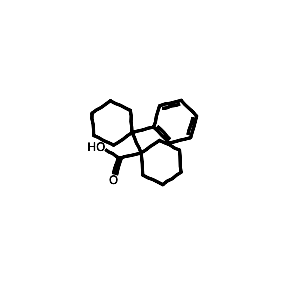 O=C(O)C1(C2(c3ccccc3)CCCCC2)CCCCC1